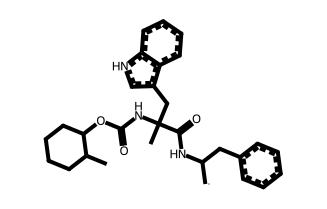 [CH2]C(Cc1ccccc1)NC(=O)C(C)(Cc1c[nH]c2ccccc12)NC(=O)OC1CCCCC1C